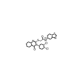 O=C(CSc1nc2ccccc2c(=O)n1-c1ccc(Cl)c(Cl)c1)Nc1ccc2scnc2c1